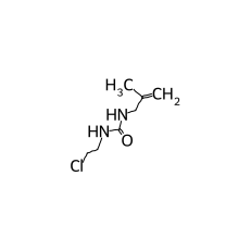 C=C(C)CNC(=O)NCCCl